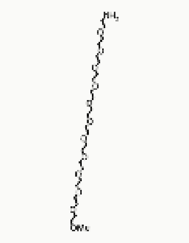 COCCOCCOCCOCCOCCOCCOCCOCCOCCOCCOCCOCCN